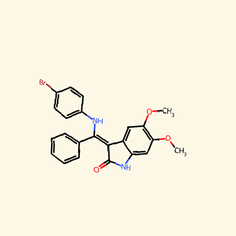 COc1cc2c(cc1OC)C(=C(Nc1ccc(Br)cc1)c1ccccc1)C(=O)N2